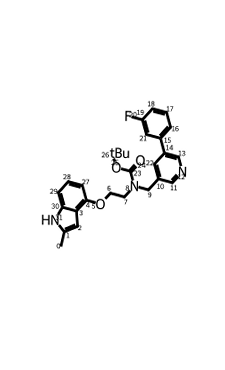 Cc1cc2c(OCCN(Cc3cncc(-c4cccc(F)c4)c3)C(=O)OC(C)(C)C)cccc2[nH]1